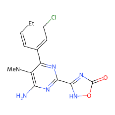 CC/C=C\C(=C/CCl)c1nc(-c2nc(=O)o[nH]2)nc(N)c1NC